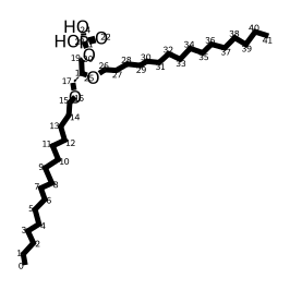 CCCCCCCCCCCCCCCCOC[C@H](COP(=O)(O)O)OCCCCCCCCCCCCCCCC